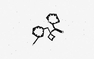 O=C(c1ccccn1)C1(Cc2cccc(F)c2)CCC1